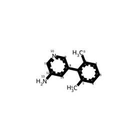 Cc1cccc(C)c1-c1cncc(N)c1